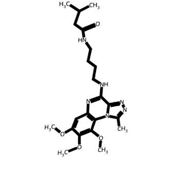 COc1cc2nc(NCCCCNC(=O)CC(C)C)c3nnc(C)n3c2c(OC)c1OC